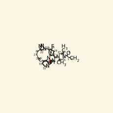 C=CC(=O)N1C[C@H](C)N(c2nc(=O)n3c4nc(c(F)cc24)-n2cc(nn2)CCCCc2ccnc(C(C)C)c2-3)C[C@H]1C